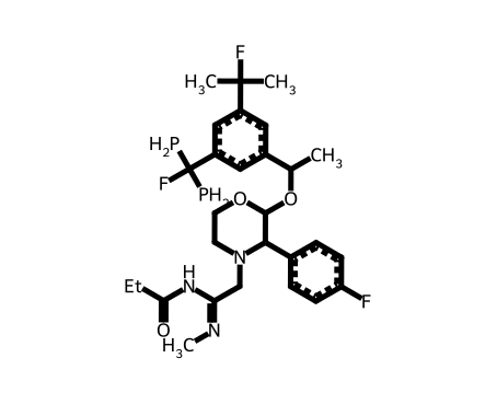 CCC(=O)N/C(CN1CCOC(OC(C)c2cc(C(C)(C)F)cc(C(F)(P)P)c2)C1c1ccc(F)cc1)=N\C